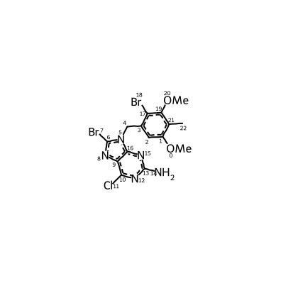 COc1cc(Cn2c(Br)nc3c(Cl)nc(N)nc32)c(Br)c(OC)c1C